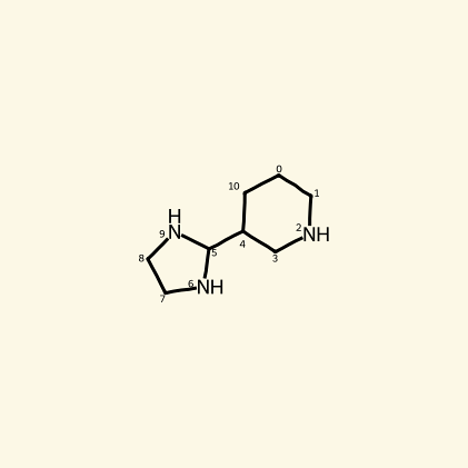 C1CNCC(C2NCCN2)C1